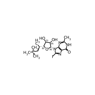 C=P(C)(C)CC(C)[C@H]1O[C@@H](n2c(I)nc3c(=O)[nH]c(C)nc32)[C@H](O)[C@@H]1O